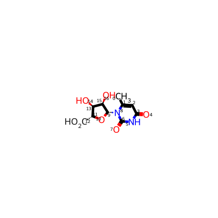 Cc1cc(=O)[nH]c(=O)n1[C@@H]1O[C@H](C(=O)O)[C@@H](O)[C@H]1O